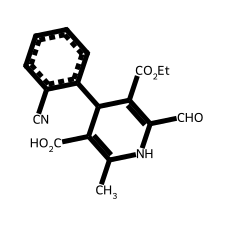 CCOC(=O)C1=C(C=O)NC(C)=C(C(=O)O)C1c1ccccc1C#N